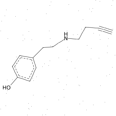 C#CCCNCCc1ccc(O)cc1